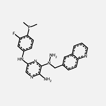 CP(C)c1ccc(Nc2cnc(N)c(N(N)Cc3ccc4ncccc4c3)n2)cc1F